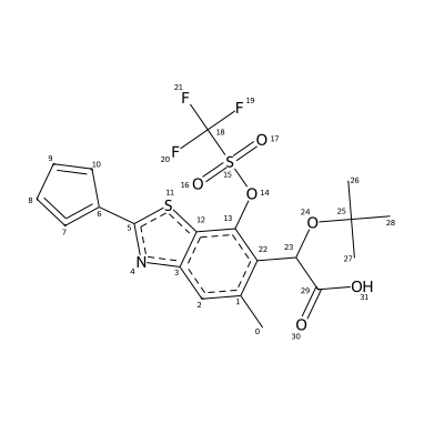 Cc1cc2nc(C3=C=CC=C3)sc2c(OS(=O)(=O)C(F)(F)F)c1C(OC(C)(C)C)C(=O)O